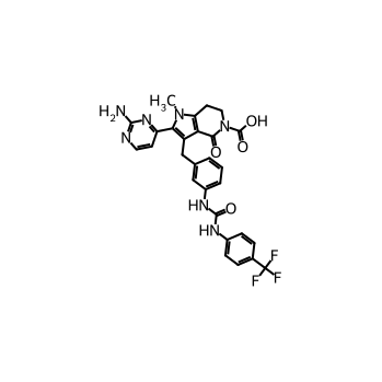 Cn1c2c(c(Cc3cccc(NC(=O)Nc4ccc(C(F)(F)F)cc4)c3)c1-c1ccnc(N)n1)C(=O)N(C(=O)O)CC2